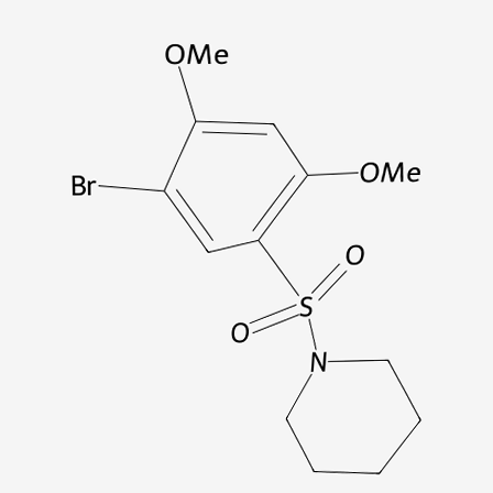 COc1cc(OC)c(S(=O)(=O)N2CCCCC2)cc1Br